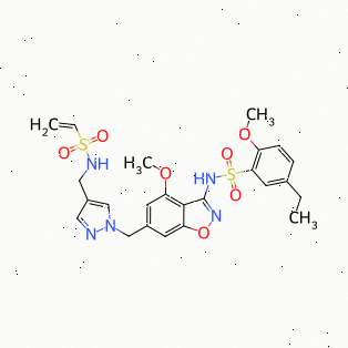 C=CS(=O)(=O)NCc1cnn(Cc2cc(OC)c3c(NS(=O)(=O)c4cc(CC)ccc4OC)noc3c2)c1